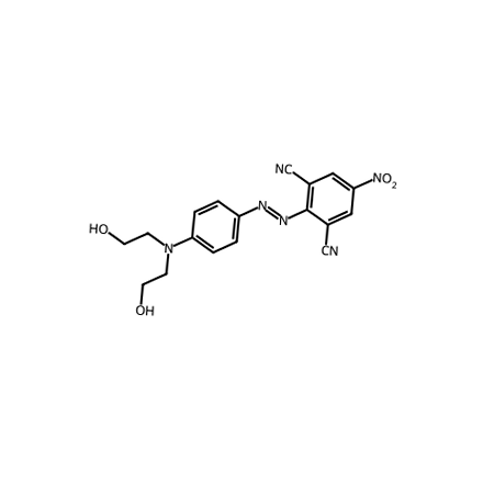 N#Cc1cc([N+](=O)[O-])cc(C#N)c1N=Nc1ccc(N(CCO)CCO)cc1